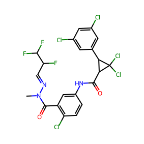 CN(N=CC(F)C(F)F)C(=O)c1cc(NC(=O)C2C(c3cc(Cl)cc(Cl)c3)C2(Cl)Cl)ccc1Cl